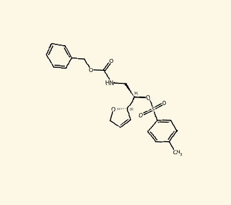 Cc1ccc(S(=O)(=O)O[C@H](CNC(=O)OCc2ccccc2)[C@@H]2C=CCO2)cc1